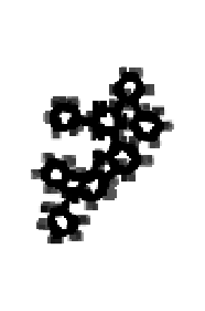 c1ccc(-c2nc(-c3ccccc3-c3ccccc3)nc(-c3cccc4c3sc3c4ccc4c3c3ccccc3n4-c3ccccc3)n2)cc1